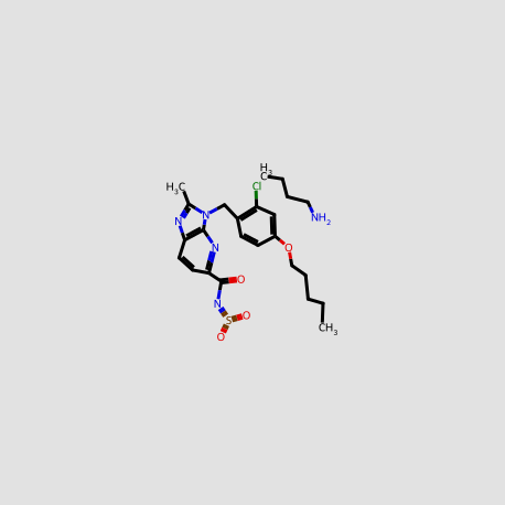 CCCCCOc1ccc(Cn2c(C)nc3ccc(C(=O)N=S(=O)=O)nc32)c(Cl)c1.CCCCN